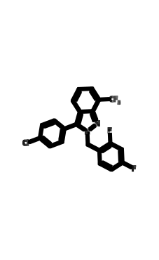 Fc1ccc(Cn2nc3c(C(F)(F)F)cccc3c2-c2ccc(Cl)cc2)c(F)c1